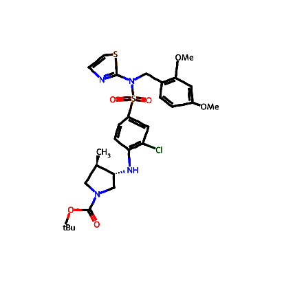 COc1ccc(CN(c2nccs2)S(=O)(=O)c2ccc(N[C@@H]3CN(C(=O)OC(C)(C)C)C[C@H]3C)c(Cl)c2)c(OC)c1